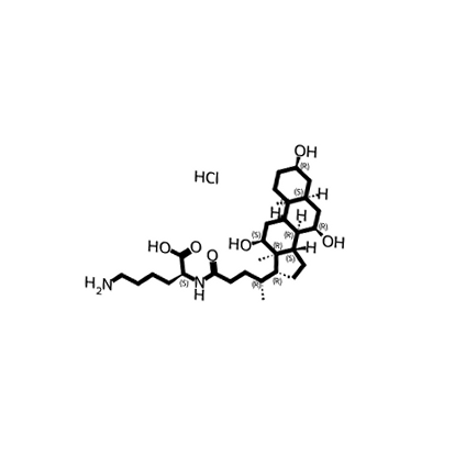 C[C@H](CCC(=O)N[C@@H](CCCCN)C(=O)O)[C@H]1CC[C@H]2[C@@H]3[C@H](O)C[C@@H]4C[C@H](O)CC[C@]4(C)[C@H]3C[C@H](O)[C@]12C.Cl